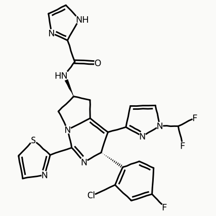 O=C(N[C@H]1CC2=C(c3ccn(C(F)F)n3)[C@H](c3ccc(F)cc3Cl)N=C(c3nccs3)N2C1)c1ncc[nH]1